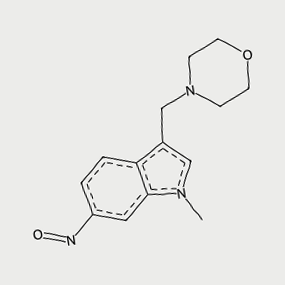 Cn1cc(CN2CCOCC2)c2ccc(N=O)cc21